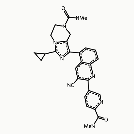 CNC(=O)c1ccc(-c2nc3cccc(-c4nc(C5CC5)n5c4CN(C(=O)NC)CC5)c3cc2C#N)cn1